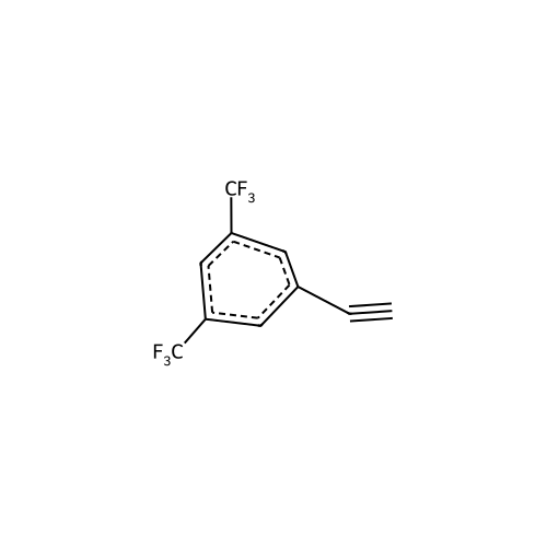 C#Cc1cc(C(F)(F)F)cc(C(F)(F)F)c1